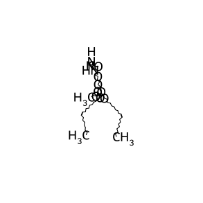 CCCCCCCC/C=C\CCCCCCCCOCC(OCCCCCCCC/C=C\CCCCCCCC)(OCCOCCOCCNC(=O)c1c[nH]cn1)C(=O)OCC